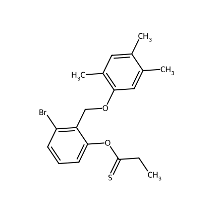 CCC(=S)Oc1cccc(Br)c1COc1cc(C)c(C)cc1C